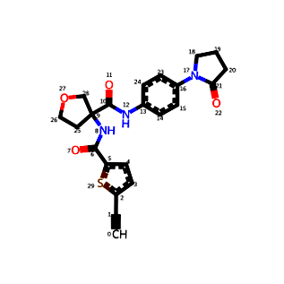 C#Cc1ccc(C(=O)NC2(C(=O)Nc3ccc(N4CCCC4=O)cc3)CCOC2)s1